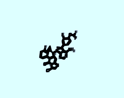 Nc1ncnc2c1c(-c1ccc(OC(F)F)c(F)c1)nn2[C@H](c1cc2scc(Cl)n2c(=O)c1-c1cccc(F)c1)C1CC1